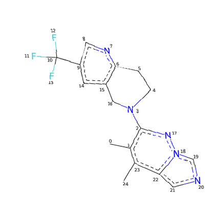 Cc1c(N2CCc3ncc(C(F)(F)F)cc3C2)nn2cncc2c1C